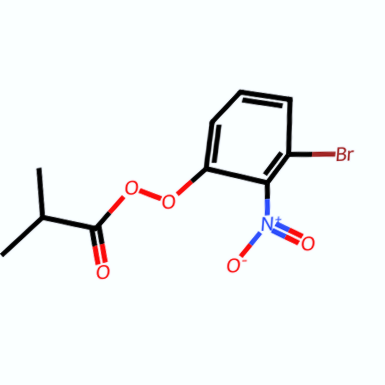 CC(C)C(=O)OOc1cccc(Br)c1[N+](=O)[O-]